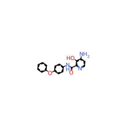 Nc1ccnc(C(=O)Nc2ccc(Oc3ccccc3)cc2)c1O